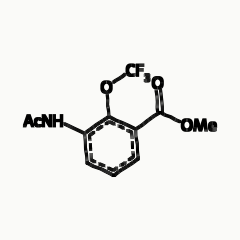 COC(=O)c1cccc(NC(C)=O)c1OC(F)(F)F